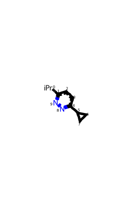 CC(C)c1ccc(C2CC2)nn1